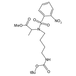 COC(=O)C(C)N(CCCCNC(=O)OC(C)(C)C)S(=O)(=O)c1ccccc1[N+](=O)[O-]